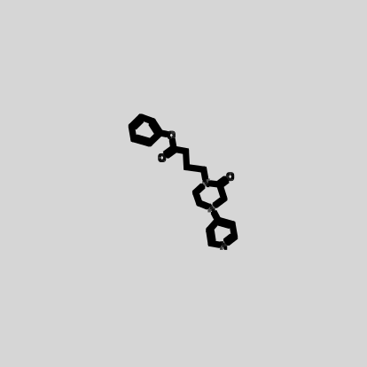 O=C(CCCN1CCN(c2ccncc2)CC1=O)Oc1ccccc1